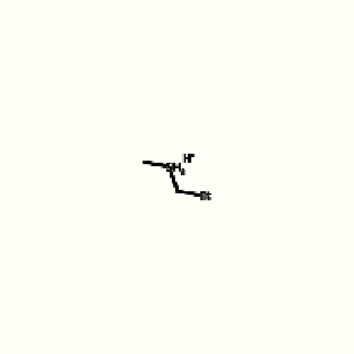 CCC[SiH2]C.[H+]